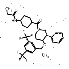 CCC(=O)NC1CCC(C(=O)N2CC[C@H](O[C@H](C)c3cc(C(F)(F)F)cc(C(F)(F)F)c3)[C@H](c3ccccc3)C2)CC1